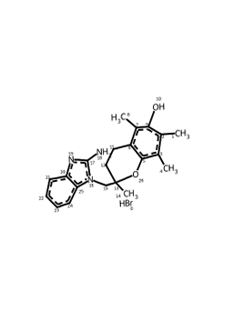 Br.Cc1c(C)c2c(c(C)c1O)CCC(C)(Cn1c(N)nc3ccccc31)O2